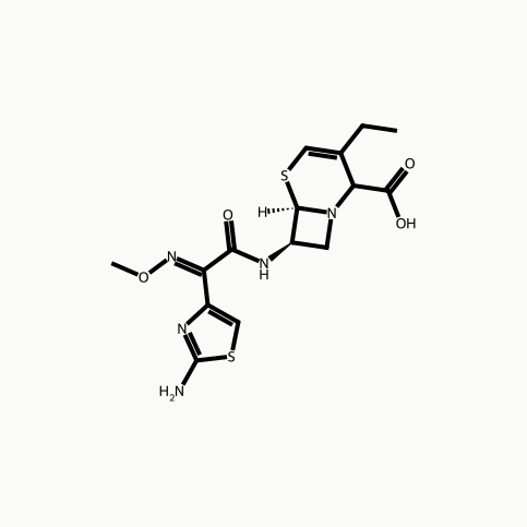 CCC1=CS[C@@H]2[C@H](NC(=O)/C(=N/OC)c3csc(N)n3)CN2C1C(=O)O